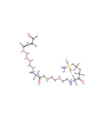 CNS(=O)(=O)CC(C)(C)CC(C)(C)C(=O)C(C)(C)NCCOCCOCC(=O)C(C)(C)NCCOCCOC(C)=C=C(C)C(C)=O